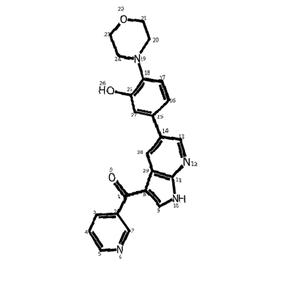 O=C(c1cccnc1)c1c[nH]c2ncc(-c3ccc(N4CCOCC4)c(O)c3)cc12